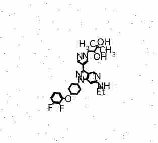 CCNc1cc2c(cn1)c(-c1cnn(C[C@H](O)C(C)(C)O)c1)nn2[C@H]1CC[C@@H](Oc2cccc(F)c2F)CC1